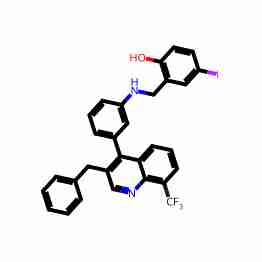 Oc1ccc(I)cc1CNc1cccc(-c2c(Cc3ccccc3)cnc3c(C(F)(F)F)cccc23)c1